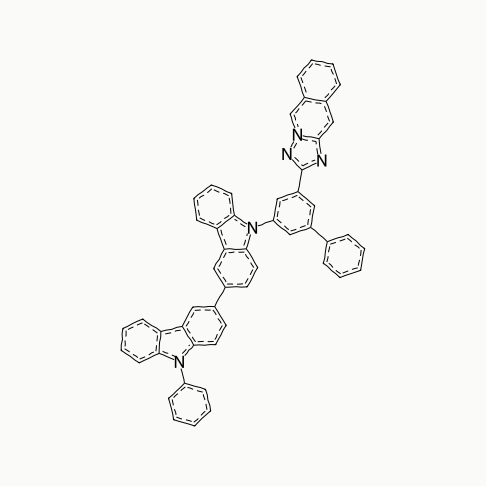 c1ccc(-c2cc(-c3nc4cc5ccccc5cn4n3)cc(-n3c4ccccc4c4cc(-c5ccc6c(c5)c5ccccc5n6-c5ccccc5)ccc43)c2)cc1